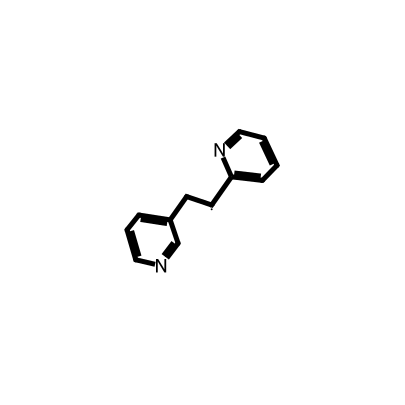 [CH](Cc1cccnc1)c1ccccn1